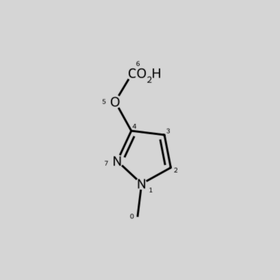 Cn1ccc(OC(=O)O)n1